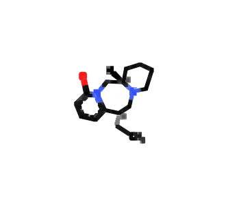 CC[C@H]1CN2CCCC[C@H]2Cn2c1cccc2=O